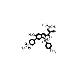 Cc1ccc(S(=O)(=O)n2c(C(=O)/C(C#N)=C/N(C)C)cc3cc(C)c(C4CCN(S(C)(=O)=O)CC4)cc32)cc1